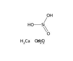 O.O=[Si](O)O.[CaH2].[CaH2]